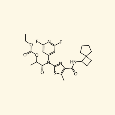 CCOC(=O)OC(C)C(=O)N(c1cc(F)nc(F)c1)c1nc(C(=O)NC2CCC23CCCC3)c(C)s1